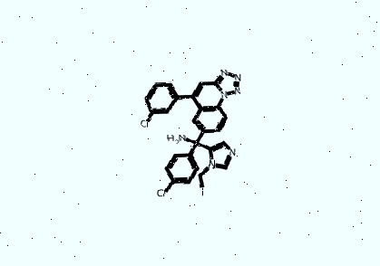 NC(c1ccc(Cl)cc1)(c1ccc2c(c1)c(-c1cccc(Cl)c1)cc1nnnn12)c1cncn1CI